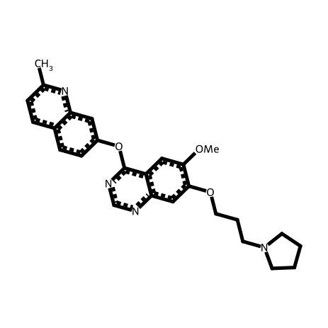 COc1cc2c(Oc3ccc4ccc(C)nc4c3)ncnc2cc1OCCCN1CCCC1